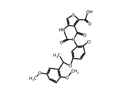 COc1ccc(OC)c(C(C)Oc2ccc(Cl)c(-n3c(=O)[nH]c4csc(C(=O)O)c4c3=O)c2)c1